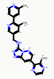 Cc1cc(-c2ncc(CNc3nnc4cc(-c5nccnc5C=O)cnn34)cc2C)ccn1